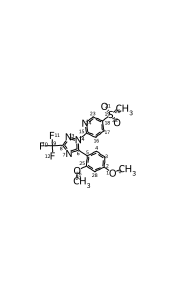 COc1ccc(-c2nc(C(F)(F)F)nn2-c2ccc(S(C)(=O)=O)cn2)c(OC)c1